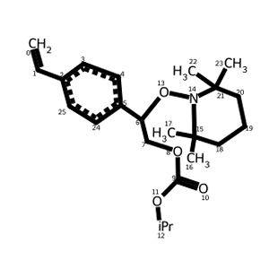 C=Cc1ccc(C(COC(=O)OC(C)C)ON2C(C)(C)CCCC2(C)C)cc1